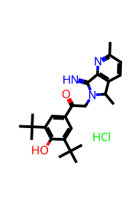 Cc1ccc2c(n1)C(=N)N(CC(=O)c1cc(C(C)(C)C)c(O)c(C(C)(C)C)c1)C2C.Cl